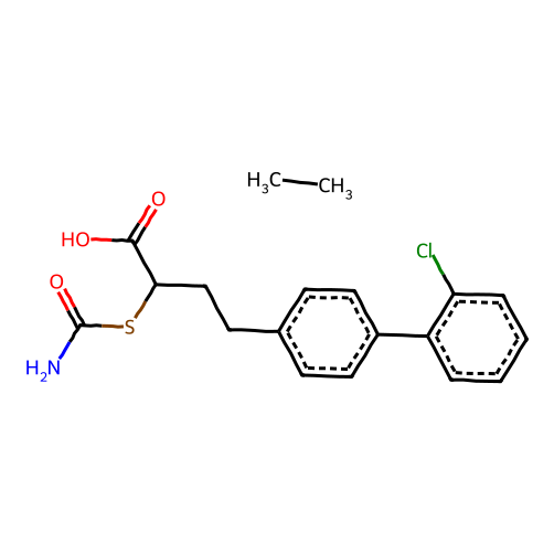 CC.NC(=O)SC(CCc1ccc(-c2ccccc2Cl)cc1)C(=O)O